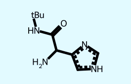 CC(C)(C)NC(=O)C(N)c1c[nH]cn1